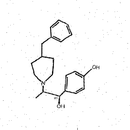 CC([C@H](O)c1ccc(O)cc1)N1CCC(Cc2ccccc2)CC1